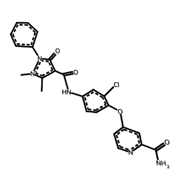 Cc1c(C(=O)Nc2ccc(Oc3ccnc(C(N)=O)c3)c(Cl)c2)c(=O)n(-c2ccccc2)n1C